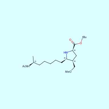 COC[C@@H]1C[C@H](C(=O)OC(C)(C)C)N[C@@H]1CCCCC[C@H](C)NC(C)=O